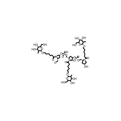 COC[C@@H]1C[C@@H](OP(=O)(O)OC[C@@H]2C[C@@H](OP(=O)(O)OC[C@@H]3C[C@@H](O)CN3C(=O)CCCCCO[C@@H]3OC(CO)[C@H](O)[C@H](O)C3C)CN2C(=O)CCCCCO[C@@H]2OC(CO)[C@H](O)[C@H](O)C2C)CN1C(=O)CCCCCO[C@@H]1OC(CO)[C@H](O)[C@H](O)C1C